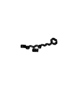 O=NOCC(O)COCCCCc1ccccc1